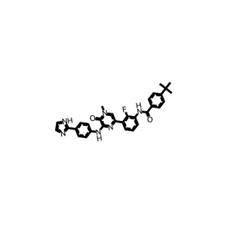 Cn1cc(-c2cccc(NC(=O)c3ccc(C(C)(C)C)cc3)c2F)nc(Nc2ccc(-c3ncc[nH]3)cc2)c1=O